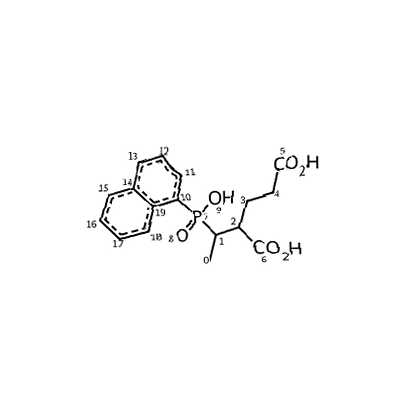 CC(C(CCC(=O)O)C(=O)O)P(=O)(O)c1cccc2ccccc12